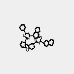 c1ccc(-c2cc(-c3ccccc3)nc(-c3cccc4oc5ccc(-c6nc(-c7ccccc7)nc(-c7ccc8ccccc8c7)n6)cc5c34)n2)cc1